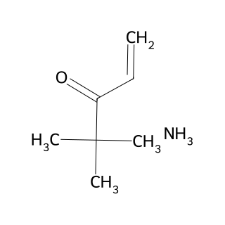 C=CC(=O)C(C)(C)C.N